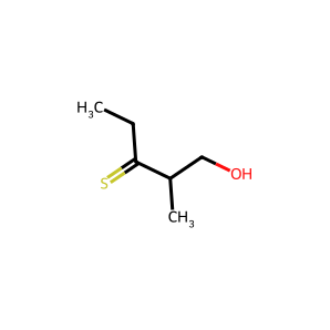 CCC(=S)C(C)CO